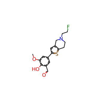 COc1cc(-c2cc3c(s2)CCN(CCF)C3)cc(C=O)c1O